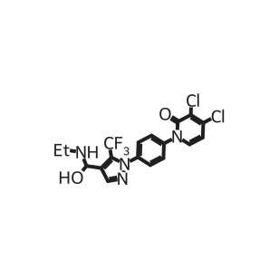 CCNC(O)c1cnn(-c2ccc(-n3ccc(Cl)c(Cl)c3=O)cc2)c1C(F)(F)F